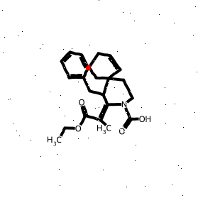 CCOC(=O)/C(C)=C1\C(Cc2ccccc2)C2(C=CCCC2)CCN1C(=O)O